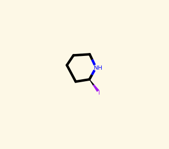 I[C@H]1CCCCN1